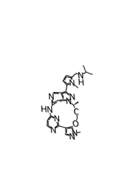 CC(C)NCc1ccc(-c2nn3c4cc(ncc24)Nc2ccnc(n2)-c2cnn(C)c2OCC[C@@H]3C)n1C